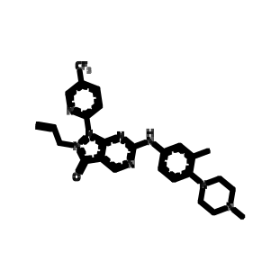 C=CCn1c(=O)c2cnc(Nc3ccc(N4CCN(C)CC4)c(C)c3)nc2n1-c1ccc(C(F)(F)F)cn1